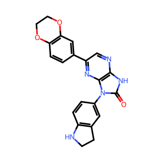 O=c1[nH]c2ncc(-c3ccc4c(c3)OCCO4)nc2n1-c1ccc2c(c1)CCN2